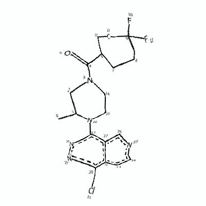 CC1CN(C(=O)C2CCC(F)(F)CC2)CCN1c1nnc(Cl)c2ccncc12